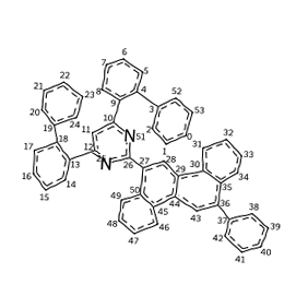 c1ccc(-c2ccccc2-c2cc(-c3ccccc3-c3ccccc3)nc(-c3cc4c5ccccc5c(-c5ccccc5)cc4c4ccccc34)n2)cc1